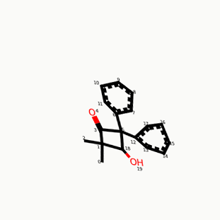 CC1(C)C(=O)C(c2ccccc2)(c2ccccc2)C1O